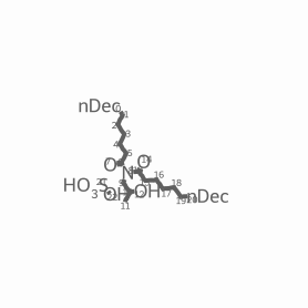 CCCCCCCCCCCCCCCC(=O)N(CC(C)O)C(=O)CCCCCCCCCCCCCCC.O=S(=O)(O)O